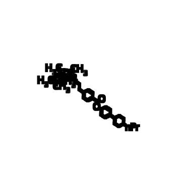 CCCC1CC=C(c2ccc(OC(=O)c3ccc(CCCC[Si](C)(C)C[Si](C)(C)C[Si](C)(C)C)cc3)cc2)CC1